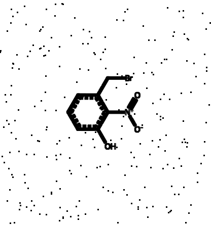 O=[N+]([O-])c1c(O)cccc1CBr